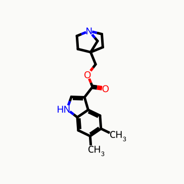 Cc1cc2[nH]cc(C(=O)OCC34CCN(CC3)C4)c2cc1C